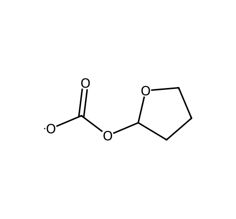 [O]C(=O)OC1CCCO1